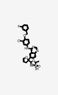 CCC(OC(C)S(=O)(=O)C(C)C)C1(c2ccc3ncnc(Nc4ccc(OCc5cccc(F)c5)c(Cl)c4)c3c2)CC=CO1